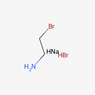 Br.NCCBr.[NaH]